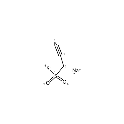 N#CCS(=O)(=O)[S-].[Na+]